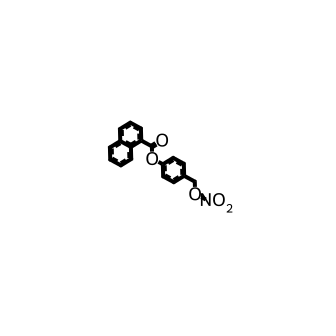 O=C(Oc1ccc(CO[N+](=O)[O-])cc1)c1cccc2ccccc12